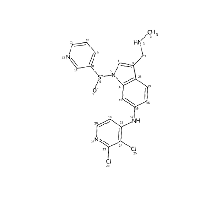 CNCc1cn([S+]([O-])c2cccnc2)c2cc(Nc3ccnc(Cl)c3Cl)ccc12